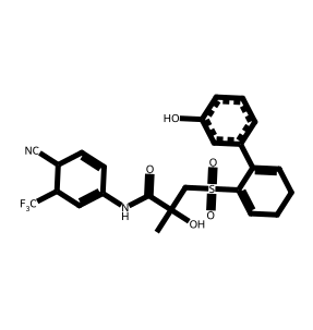 CC(O)(CS(=O)(=O)C1=CCCC=C1c1cccc(O)c1)C(=O)NC1=CC(C(F)(F)F)C(C#N)C=C1